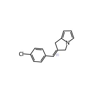 Clc1ccc(/C=C2\Cc3cccn3C2)cc1